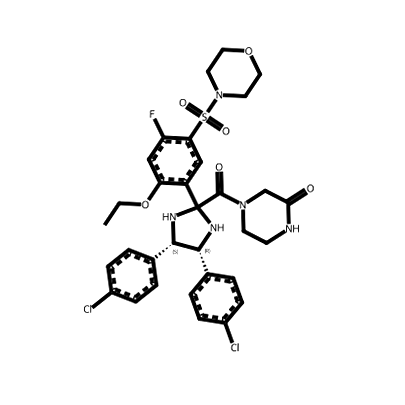 CCOc1cc(F)c(S(=O)(=O)N2CCOCC2)cc1C1(C(=O)N2CCNC(=O)C2)N[C@H](c2ccc(Cl)cc2)[C@H](c2ccc(Cl)cc2)N1